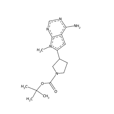 Cn1c(C2CCN(C(=O)OC(C)(C)C)C2)cc2c(N)ncnc21